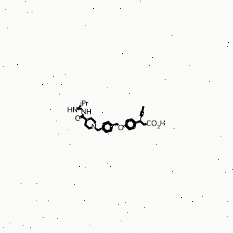 CC#C[C@@H](CC(=O)O)c1ccc(OCc2ccc(CN3CCC(C(=O)NC(=N)C(C)C)CC3)cc2)cc1